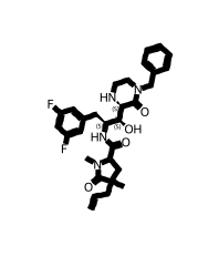 C=CCC1(C)CC(C(=O)N[C@@H](Cc2cc(F)cc(F)c2)[C@H](O)[C@@H]2NCCN(Cc3ccccc3)C2=O)N(C)C1=O